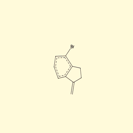 C=C1CCc2c(Br)cccc21